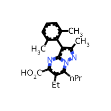 CCCc1c(CC)c(C(=O)O)nc2c(-c3c(C)cccc3C)c(C)nn12